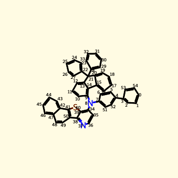 c1ccc(-c2ccc(N(c3cccc4c3-c3ccccc3C4(c3ccccc3)c3ccccc3)c3ccnc4c3sc3c5ccccc5ccc43)cc2)cc1